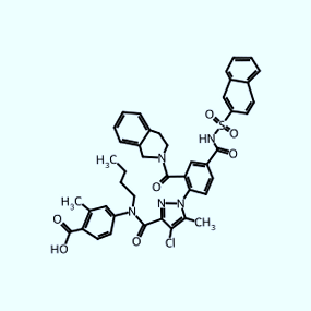 CCCCN(C(=O)c1nn(-c2ccc(C(=O)NS(=O)(=O)c3ccc4ccccc4c3)cc2C(=O)N2CCc3ccccc3C2)c(C)c1Cl)c1ccc(C(=O)O)c(C)c1